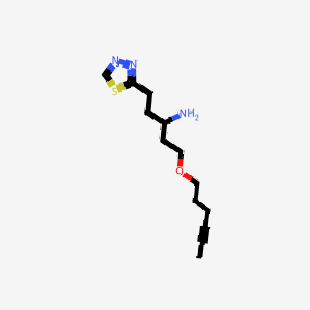 CC#CCCCOCCC(N)CCc1nncs1